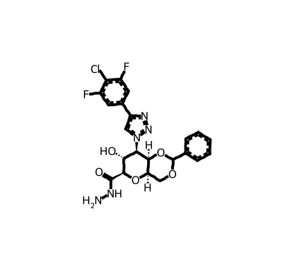 NNC(=O)[C@@H]1O[C@@H]2COC(c3ccccc3)O[C@@H]2[C@H](n2cc(-c3cc(F)c(Cl)c(F)c3)nn2)[C@H]1O